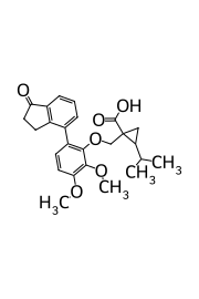 COc1ccc(-c2cccc3c2CCC3=O)c(OCC2(C(=O)O)CC2C(C)C)c1OC